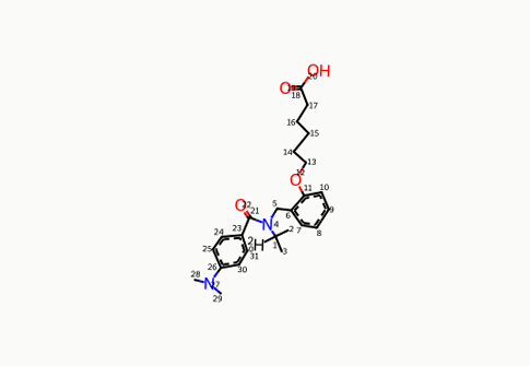 [2H]C(C)(C)N(Cc1ccccc1OCCCCCC(=O)O)C(=O)c1ccc(N(C)C)cc1